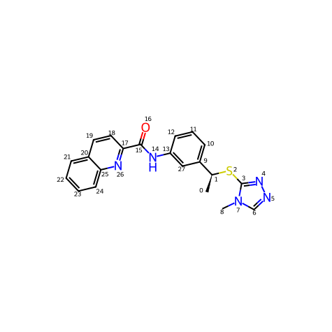 C[C@H](Sc1nncn1C)c1cccc(NC(=O)c2ccc3ccccc3n2)c1